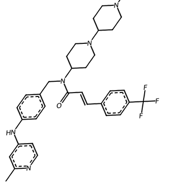 Cc1cc(Nc2ccc(CN(C(=O)/C=C/c3ccc(C(F)(F)F)cc3)C3CCN(C4CCN(C)CC4)CC3)cc2)ccn1